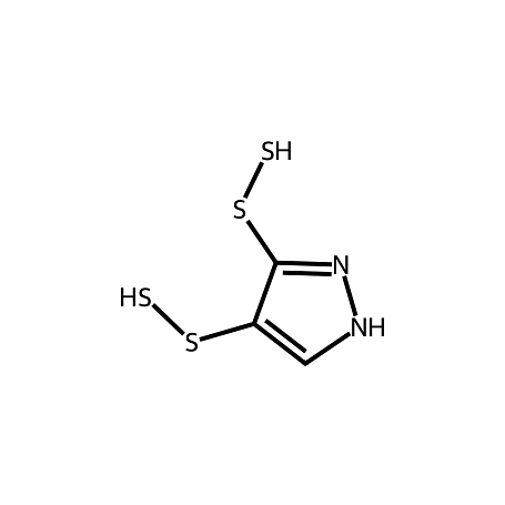 SSc1c[nH]nc1SS